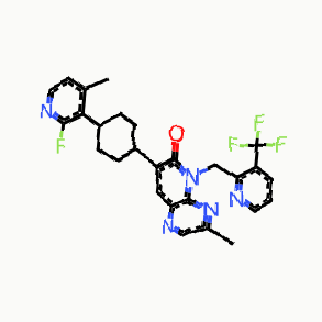 Cc1cnc2cc(C3CCC(c4c(C)ccnc4F)CC3)c(=O)n(Cc3ncccc3C(F)(F)F)c2n1